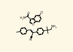 Cc1ccc(/C=C(\C#N)c2ccc(C(C)(C)CN)cc2)cc1.NC(=O)c1coc2ccc(Cl)cc12